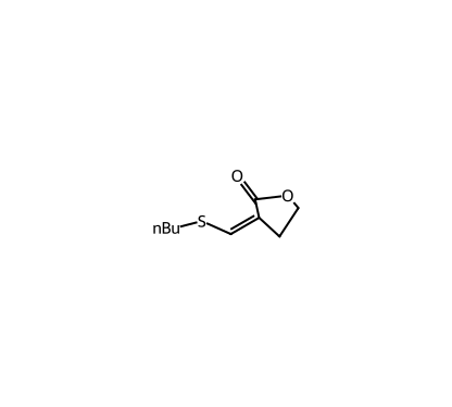 CCCCS/C=C1/CCOC1=O